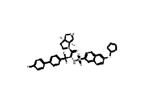 O=C([C@H](NS(=O)(=O)c1ccc2cc(OC3CCCC3)ccc2c1)C(F)(F)c1ccc(-c2ccc(Cl)cc2)cc1)N1CC[C@H]2CNC[C@H]21